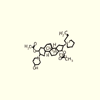 C=CC[N+]1(C2C[C@H]3[C@@H]4CCC5CC(OC(C)=O)C(N6CCC(O)CC6)C[C@]5(C)[C@@H]4CC[C@]3(C)C2OC(C)=O)CCCC1